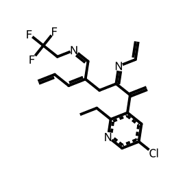 C=C/C=C(\C=N/CC(F)(F)F)C/C(=N/C=C)C(=C)c1cc(Cl)cnc1CC